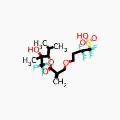 C=C(COCCC(F)(F)C(F)(F)S(=O)(=O)O)C(=O)OC(C(C)C)C(C)(O)C(F)(F)F